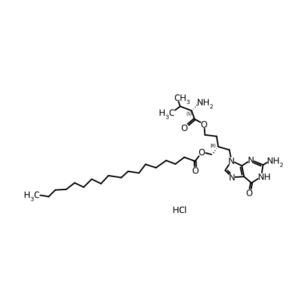 CCCCCCCCCCCCCCCCCC(=O)OC[C@H](CCOC(=O)[C@@H](N)C(C)C)Cn1cnc2c(=O)[nH]c(N)nc21.Cl